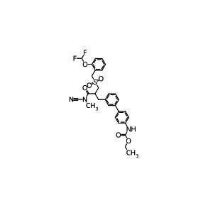 CCOC(=O)Nc1ccc(-c2cccc(CC(CS(=O)(=O)Cc3ccccc3OC(F)F)C(=O)N(C)C#N)c2)cc1